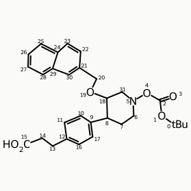 CC(C)(C)OC(=O)ON1CCC(c2ccc(CCC(=O)O)cc2)C(OCc2ccc3ccccc3c2)C1